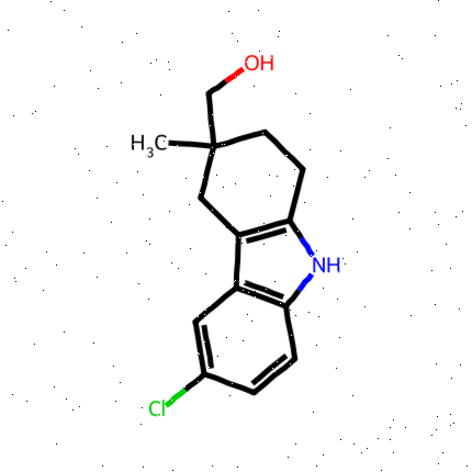 CC1(CO)CCc2[nH]c3ccc(Cl)cc3c2C1